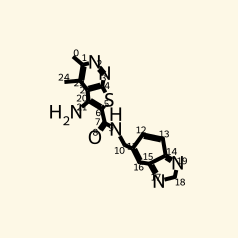 Cc1nnc2sc(C(=O)NCc3ccc4c(c3)=NCN=4)c(N)c2c1C